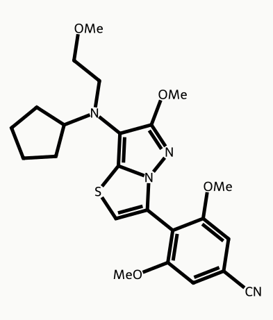 COCCN(c1c(OC)nn2c(-c3c(OC)cc(C#N)cc3OC)csc12)C1CCCC1